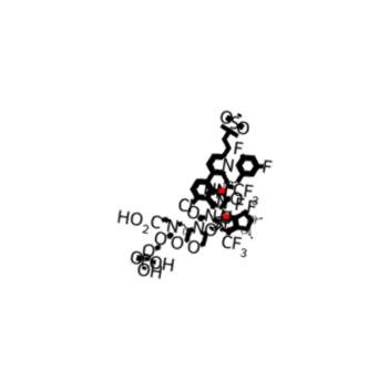 C[C@@H]1c2c(C(F)(F)F)nn(CC(=O)N[C@@H](Cc3cc(F)cc(F)c3)c3nc(CCC(C)(C)S(C)(=O)=O)ccc3-c3ccc(Cl)c4c(N(C(=O)N5CCOC[C@@H]5CN(CC(=O)O)C(=O)OCOP(=O)(O)O)S(C)(=O)=O)nn(CC(F)(F)F)c34)c2C(F)(F)[C@@H]1C